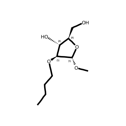 CCCCO[C@@H]1[C@@H](OC)O[C@H](CO)[C@H]1O